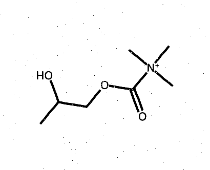 CC(O)COC(=O)[N+](C)(C)C